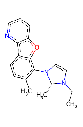 CCN1C=CN(c2c(C)ccc3c2oc2cccnc23)[C@H]1C